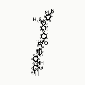 C[C@@H]1CC2(CCN(c3ccc(C(=O)N4CCC4CN4CCN(c5cccc(N[C@@H]6CCC(=O)NC6=O)c5)CC4)cc3)CC2)CN1c1ccc(C#N)c(Cl)c1